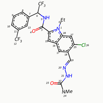 CCn1c(C(=O)NC(c2cccc(C(F)(F)F)c2)C(F)(F)F)cc2cc(C=NNC(=O)NC)c(Cl)cc21